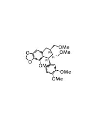 COC[C@@H]1Cc2cc3c(c(OC)c2[C@H](c2ccc(OC)c(OC)c2)[C@H]1COC)OCO3